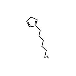 CCCCCCC1=NCC=C1